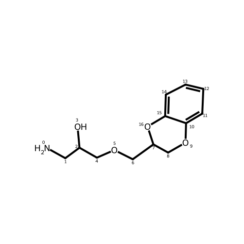 NCC(O)COCC1COc2ccccc2O1